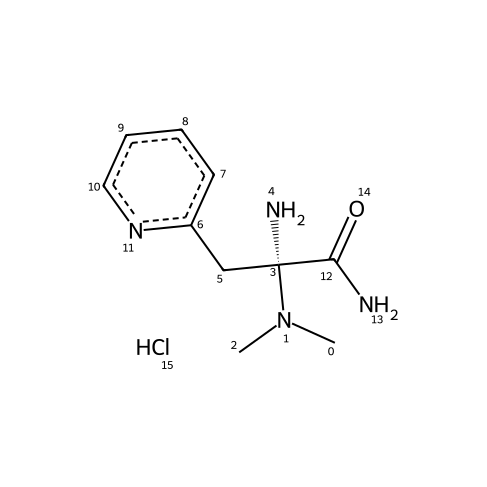 CN(C)[C@@](N)(Cc1ccccn1)C(N)=O.Cl